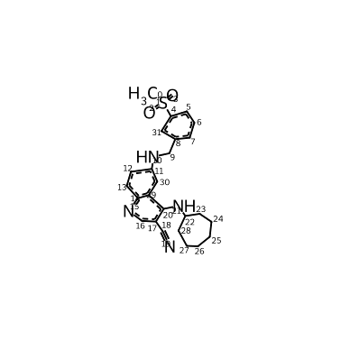 CS(=O)(=O)c1cccc(CNc2ccc3ncc(C#N)c(NC4CCCCCC4)c3c2)c1